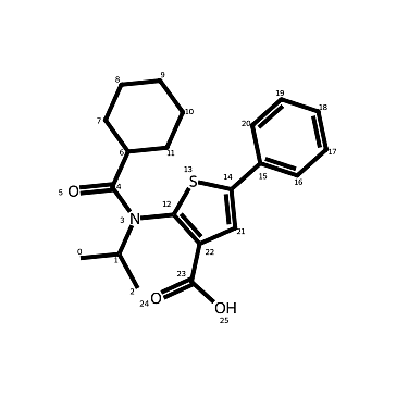 CC(C)N(C(=O)C1CCCCC1)c1sc(-c2ccccc2)cc1C(=O)O